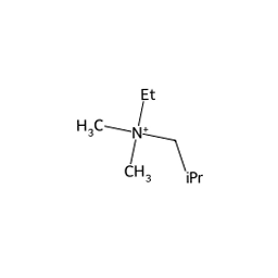 CC[N+](C)(C)CC(C)C